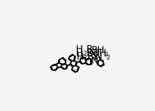 BC(B)(B)C(B)(B)c1nc2ccccc2n1-c1ccc2cc(-c3c4ccccc4c(-c4ccc5c6c(cccc46)-c4ccccc4-5)c4ccccc34)ccc2c1